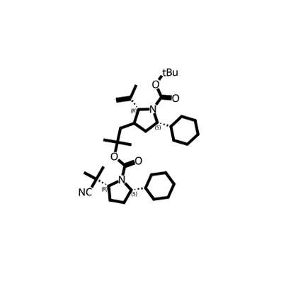 C=C(C)[C@H]1C(CC(C)(C)OC(=O)N2[C@H](C3CCCCC3)CC[C@@H]2C(C)(C)C#N)C[C@@H](C2CCCCC2)N1C(=O)OC(C)(C)C